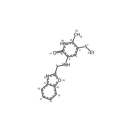 CCSc1cc(NCc2nc3ccccc3o2)c(=O)[nH]c1C